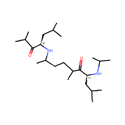 CC(C)C[C@H](NC(C)C)C(=O)C(C)CCC(C)N[C@H](CC(C)C)C(=O)C(C)C